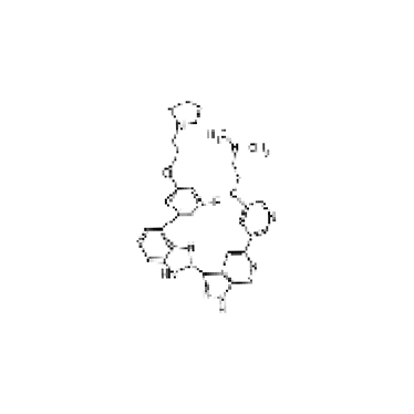 CN(C)CCOc1cncc(-c2cc3c(-c4nc5c(-c6cc(F)cc(OCCN7CCCC7)c6)cccc5[nH]4)n[nH]c3cn2)c1